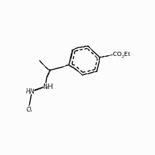 CCOC(=O)c1ccc(C(C)NNCl)cc1